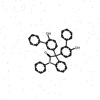 O=C1N(c2ccccc2)c2ccccc2C1(c1ccc(O)c(-c2ccccc2)c1)c1ccc(O)c(-c2ccccc2)c1